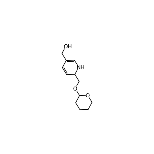 OCC1=CNC(COC2CCCCO2)C=C1